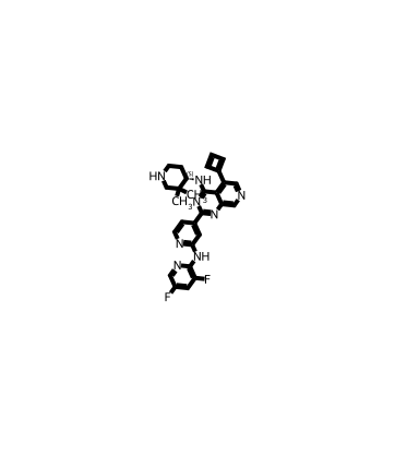 CC1(C)CNCC[C@@H]1Nc1nc(-c2ccnc(Nc3ncc(F)cc3F)c2)nc2cncc(C3=CC=C3)c12